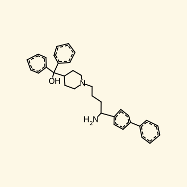 NC(CCCN1CCC(C(O)(c2ccccc2)c2ccccc2)CC1)c1ccc(-c2ccccc2)cc1